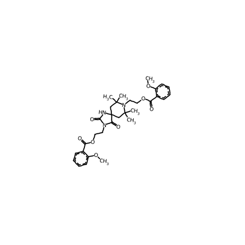 COc1ccccc1C(=O)OCCN1C(=O)NC2(CC(C)(C)N(CCOC(=O)c3ccccc3OC)C(C)(C)C2)C1=O